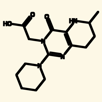 CC1CCc2nc(N3CCCCC3)n(CC(=O)O)c(=O)c2N1